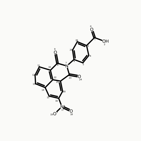 O=C(O)c1ccc(N2C(=O)c3cccc4cc([N+](=O)[O-])cc(c34)C2=O)cc1